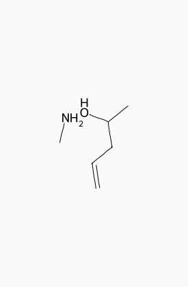 C=CCC(C)O.CN